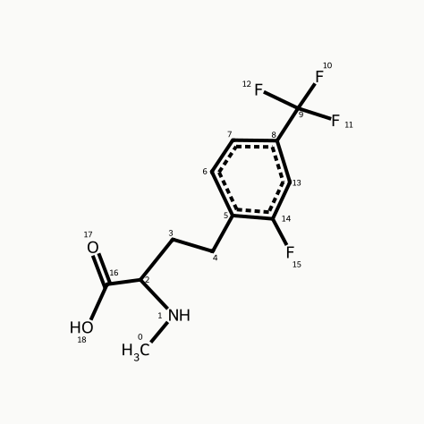 CNC(CCc1ccc(C(F)(F)F)cc1F)C(=O)O